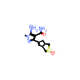 Cn1nc(C2CC3C[S+]([O-])CC3C2)c(C(N)=O)c1N